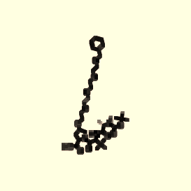 C[C@@H](C(=O)N[C@H](C(=O)N1CC(OCCOCCOCCOCCOCc2ccccc2)CC1C(=O)O)C(C)(C)C)N(C)C(=O)OC(C)(C)C